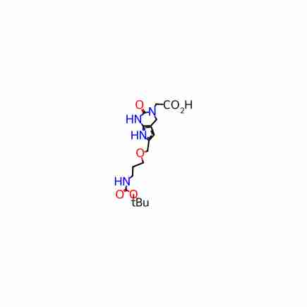 CC(C)(C)OC(=O)NCCCOCc1cc2c([nH]1)NC(=O)N(CC(=O)O)C2